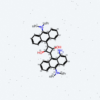 CCCN(CCC)c1c2ccccc2c(C2C(O)C(c3c4ccccc4c(N(CCC)CCC)c4cccc(N)c34)C2O)c2ccccc12